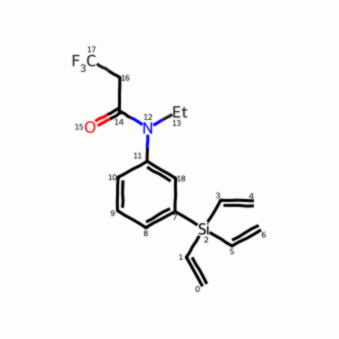 C=C[Si](C=C)(C=C)c1cccc(N(CC)C(=O)CC(F)(F)F)c1